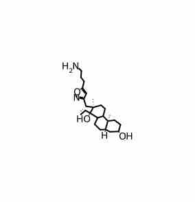 CC[C@]1(O)C2CC[C@@H]3C[C@@H](O)CC[C@]3(C)C2CC[C@]1(C)[C@H](C)c1cc(CCCN)on1